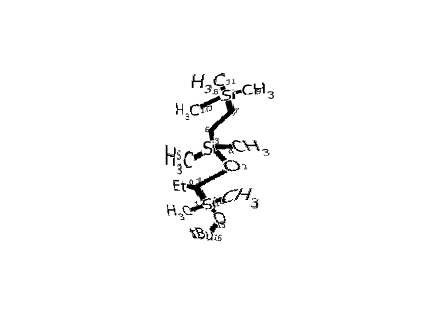 CCC(O[Si](C)(C)CC[Si](C)(C)C)[Si](C)(C)OC(C)(C)C